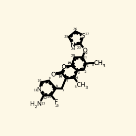 Cc1cc2c(C)c(Cc3ccnc(N)c3F)c(=O)oc2cc1Oc1nccs1